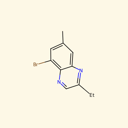 CCc1cnc2c(Br)cc(C)cc2n1